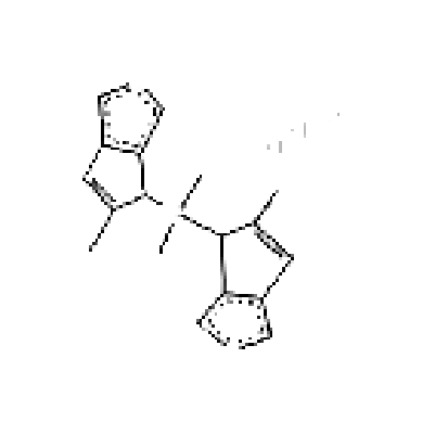 CC1=Cc2cscc2C1[Si](C)(C)C1C(C)=Cc2cscc21.[Cl-].[Cl-].[Zr+2]